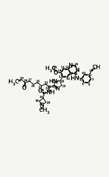 C#Cc1cccc(Nc2ncnc3cc(OC)c(C4CN=C([C@H](CCCCCC(=O)CC)NC(=O)C5CN(C)C5)N4)cc23)c1